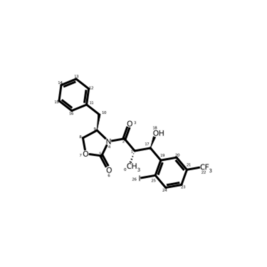 C[C@H](C(=O)N1C(=O)OC[C@H]1Cc1ccccc1)[C@@H](O)c1cc(C(F)(F)F)ccc1I